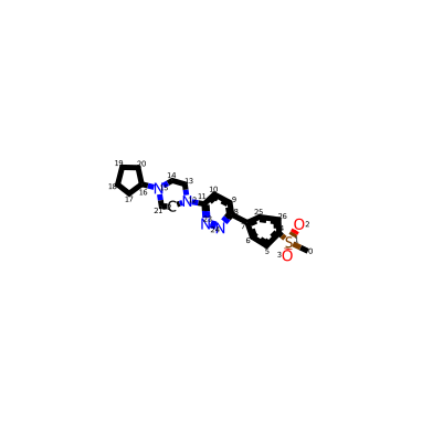 CS(=O)(=O)c1ccc(-c2ccc(N3CCN(C4CCCC4)CC3)nn2)cc1